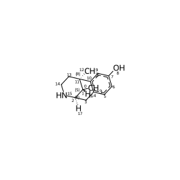 C[C@@H]1[C@H]2Cc3ccc(O)cc3[C@]1(C)CCN2